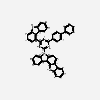 c1ccc(-c2ccc(-c3nc(-c4cccc5sc6ccccc6c45)nc(-n4c5ccccc5c5c6oc7ccccc7c6ccc54)n3)cc2)cc1